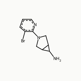 NC1C2CN(c3ncccc3Br)CC12